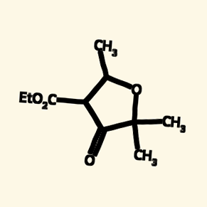 CCOC(=O)C1C(=O)C(C)(C)OC1C